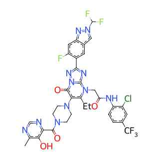 CCc1c(N2CCN(C(=O)c3ncnc(C)c3O)CC2)c(=O)n2nc(-c3cc4cn(C(F)F)nc4cc3F)nc2n1CC(=O)Nc1ccc(C(F)(F)F)cc1Cl